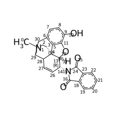 CN1CC[C@]23c4c5ccc(O)c4O[C@H]2[C@H](N2C(=O)c4ccccc4C2=O)C=CC3C1C5